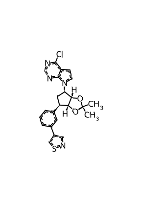 CC1(C)O[C@@H]2[C@H](O1)[C@@H](c1cccc(-c3cnsc3)c1)C[C@H]2n1ccc2c(Cl)ncnc21